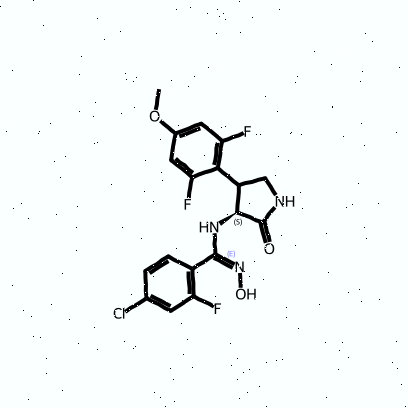 COc1cc(F)c(C2CNC(=O)[C@H]2N/C(=N/O)c2ccc(Cl)cc2F)c(F)c1